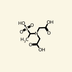 CC(N(CC(=O)O)CC(=O)O)S(=O)(=O)O